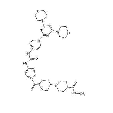 CNC(=O)C1CCN(C2CCN(C(=O)c3ccc(NC(=O)Nc4ccc(-c5nc(N6CCOCC6)nc(N6CCOCC6)n5)cc4)cc3)CC2)CC1